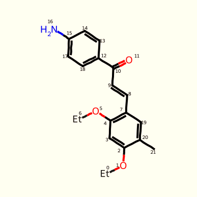 CCOc1cc(OCC)c(/C=C/C(=O)c2ccc(N)cc2)cc1C